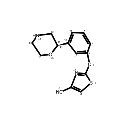 N#Cc1csc(Oc2cccc([C@@H]3CNCCO3)c2)n1